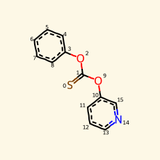 S=C(Oc1ccccc1)Oc1cccnc1